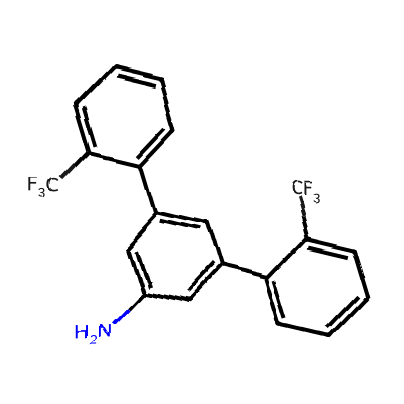 Nc1cc(-c2ccccc2C(F)(F)F)cc(-c2ccccc2C(F)(F)F)c1